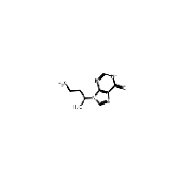 CCCC(C)n1cnc2c(=O)[nH]cnc21